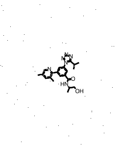 Cc1cnc(-c2cc(C(=O)NC(C)CO)cc(-n3nnnc3C(C)C)c2)c(C)c1